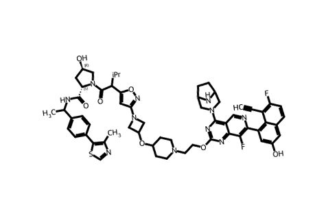 C#Cc1c(F)ccc2cc(O)cc(-c3ncc4c(N5CC6CCC(C5)N6)nc(OCCN5CCC(OC6CN(c7cc(C(C(=O)N8C[C@H](O)C[C@H]8C(=O)NC(C)c8ccc(-c9scnc9C)cc8)C(C)C)on7)C6)CC5)nc4c3F)c12